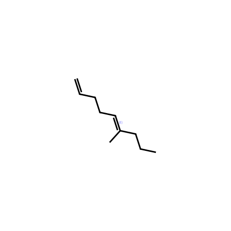 C=CCC/C=C(\C)CCC